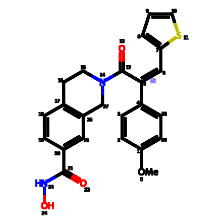 COc1ccc(/C(=C/c2cccs2)C(=O)N2CCc3ccc(C(=O)NO)cc3C2)cc1